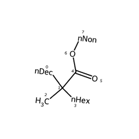 CCCCCCCCCCC(C)(CCCCCC)C(=O)OCCCCCCCCC